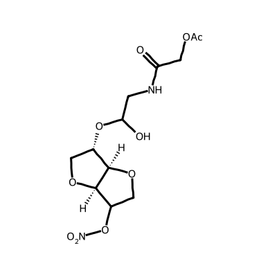 CC(=O)OCC(=O)NCC(O)O[C@H]1CO[C@@H]2C(O[N+](=O)[O-])CO[C@H]12